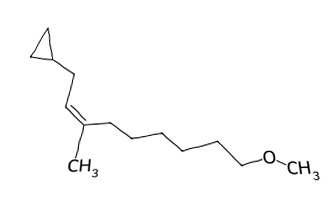 COCCCCCCC(C)=CCC1CC1